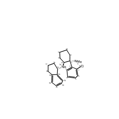 CN[C@@]1(c2ccccc2Cl)CCCC[C@@H]1N[C@H]1CCCc2ccccc21